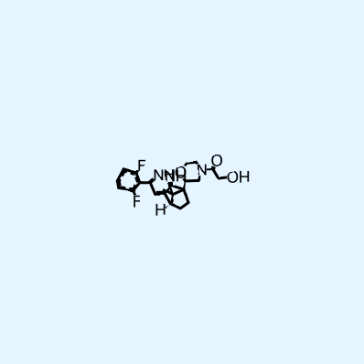 CC1(C)[C@H]2CCC1([C@@H]1CN(C(=O)CO)CCO1)C(=N)/C2=C\C(=N)c1c(F)cccc1F